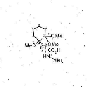 CCC(C)NC(=O)O.CCCC1(OC)CCCC[Si]1(OC)OC